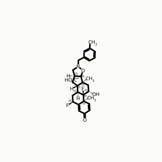 Cc1cccc(CN2C[C@@H]3C[C@H]4[C@@H]5C[C@H](F)C6=CC(=O)C=C[C@]6(C)[C@@]5(F)[C@@H](O)C[C@]4(C)[C@]3(C(=O)O)O2)c1